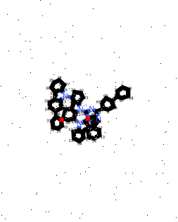 c1ccc(-c2ccc(-c3nc(-c4ccccc4)nc(-n4c5cccc(-n6c7ccccc7c7ccc(-c8ccccc8)cc76)c5c5cccc(-n6c7ccccc7c7ccccc76)c54)n3)cc2)cc1